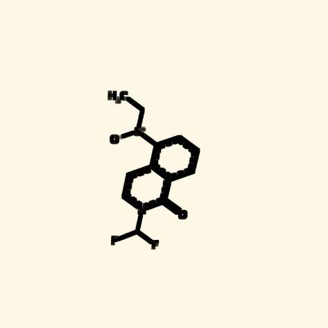 CC[S+]([O-])c1cccc2c(=O)n(C(F)F)ccc12